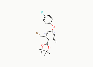 C=C/C=C(\C=C(\CBr)CB1OC(C)(C)C(C)(C)O1)Oc1ccc(F)cc1